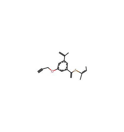 C#CCOc1cc(C(=C)C)cc(C(=C)S/C(C)=C\C)c1